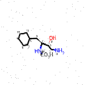 NC[C@@H](O)[C@H](CC1CCCCC1)NC(=O)O